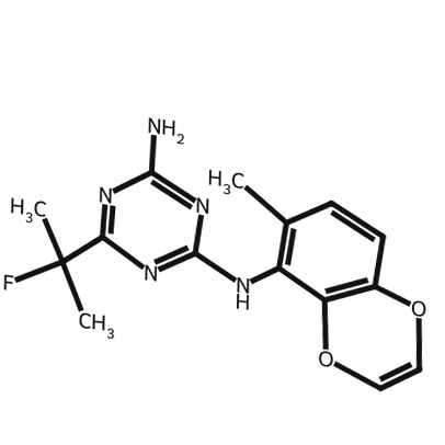 Cc1ccc2c(c1Nc1nc(N)nc(C(C)(C)F)n1)OC=CO2